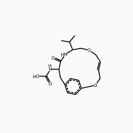 CC(C)C1COC/C=C/COc2ccc(cc2)CC(NC(=O)O)C(=O)N1